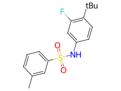 Cc1cccc(S(=O)(=O)Nc2ccc(C(C)(C)C)c(F)c2)c1